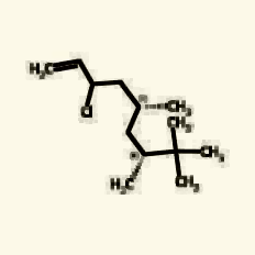 C=CC(Cl)C[C@H](C)C[C@@H](C)C(C)(C)C